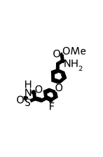 COC(=O)C(N)Cc1ccc(Oc2ccc(C=C3SC(=O)NC3=O)c(F)c2)cc1